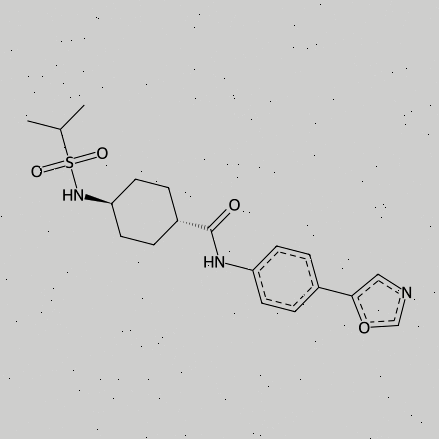 CC(C)S(=O)(=O)N[C@H]1CC[C@H](C(=O)Nc2ccc(-c3cnco3)cc2)CC1